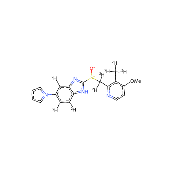 [2H]c1c(-n2cccc2)c([2H])c2nc([S+]([O-])C([2H])([2H])c3nccc(OC)c3C([2H])([2H])[2H])[nH]c2c1[2H]